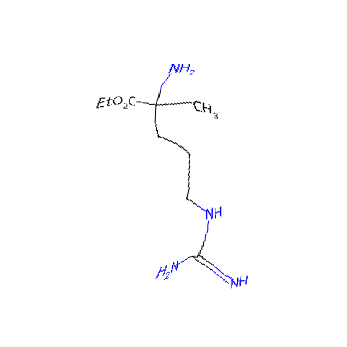 CCOC(=O)C(C)(N)CCCNC(=N)N